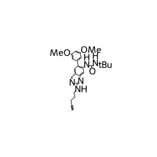 C#CCCCNc1ncc2cc(-c3cc(OC)cc(OC)c3)c(NC(=O)NC(C)(C)C)cc2n1